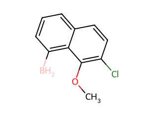 Bc1cccc2ccc(Cl)c(OC)c12